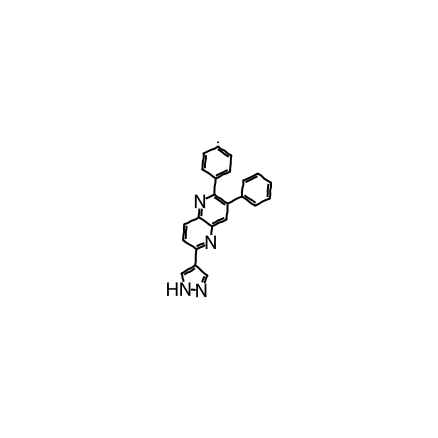 [c]1ccc(-c2nc3ccc(-c4cn[nH]c4)nc3cc2-c2ccccc2)cc1